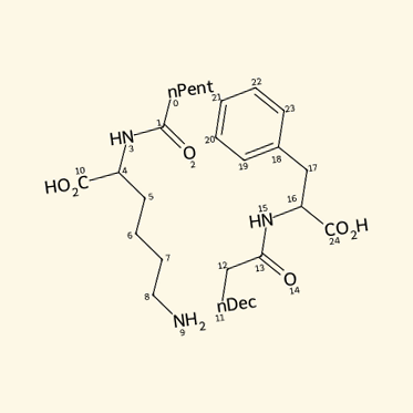 CCCCCC(=O)NC(CCCCN)C(=O)O.CCCCCCCCCCCC(=O)NC(Cc1ccccc1)C(=O)O